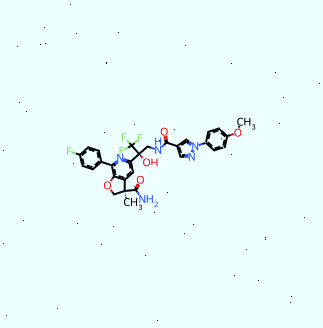 COc1ccc(-n2cc(C(=O)NC[C@](O)(c3cc4c(c(-c5ccc(F)cc5)n3)OC[C@]4(C)C(N)=O)C(F)(F)F)cn2)cc1